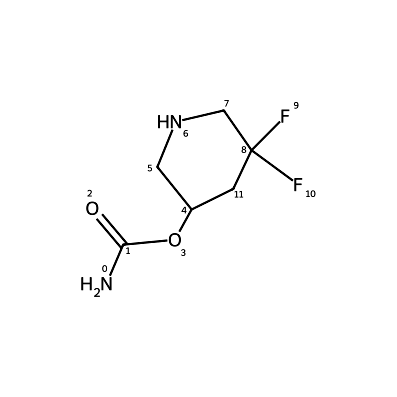 NC(=O)OC1CNCC(F)(F)C1